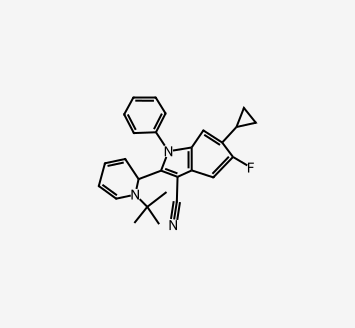 CC(C)(C)N1C=CC=CC1c1c(C#N)c2cc(F)c(C3CC3)cc2n1-c1ccccc1